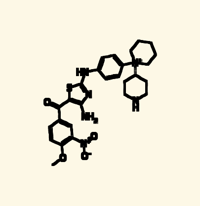 COc1ccc(C(=O)c2sc(Nc3ccc([N+]4(C5CCNCC5)CCCCC4)cc3)nc2N)cc1[N+](=O)[O-]